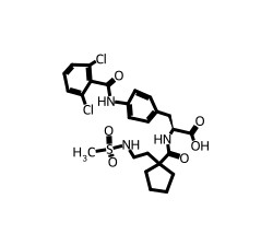 CS(=O)(=O)NCCC1(C(=O)N[C@@H](Cc2ccc(NC(=O)c3c(Cl)cccc3Cl)cc2)C(=O)O)CCCC1